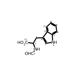 O=[C]NC(Cc1c[nH]c2ccccc12)C(=O)O